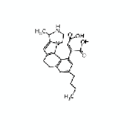 CCCCc1cc2c(c(C(=CC(=O)O)C(=O)O)c1)-c1c(cc3n1CCNC3C)CC2